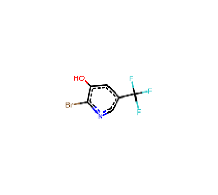 Oc1cc(C(F)(F)F)cnc1Br